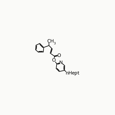 CCCCCCCc1ccc(OC(=O)/C=C/C(C)c2ccccc2)nc1